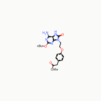 CCCCOc1nc(N)c2[nH]c(=O)n(CCOc3ccc(CC(=O)OC)cc3)c2n1